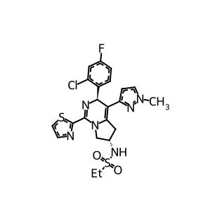 CCS(=O)(=O)N[C@H]1CC2=C(c3ccn(C)n3)[C@H](c3ccc(F)cc3Cl)N=C(c3nccs3)N2C1